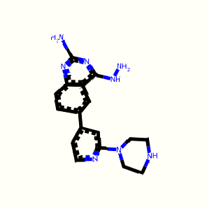 NNc1nc(N)nc2ccc(-c3ccnc(N4CCNCC4)c3)cc12